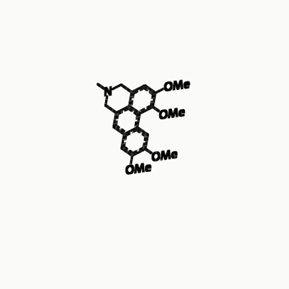 COc1cc2cc3c4c(cc(OC)c(OC)c4c2cc1OC)CN(C)C3